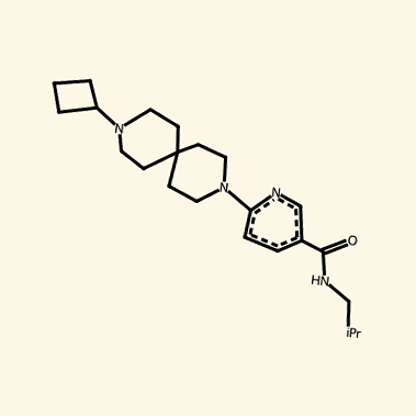 CC(C)CNC(=O)c1ccc(N2CCC3(CC2)CCN(C2CCC2)CC3)nc1